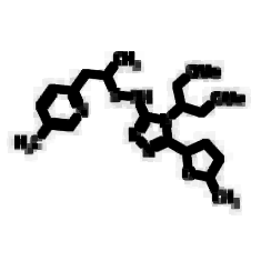 COCC(COC)n1c(NSC(C)Cc2ccc(C)cn2)nnc1C1CCC(C)O1